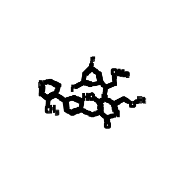 CCOCc1nc(=O)c(Cc2ccc(-c3ccncc3C)cc2)c(O)n1C(COC)c1cc(F)cc(F)c1